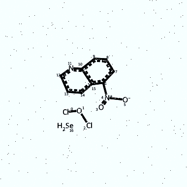 ClOCl.O=[N+]([O-])c1cccc2ncccc12.[SeH2]